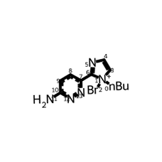 CCCC[N+]1(Br)C=CN=C1c1ccc(N)nn1